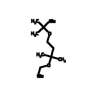 CC(C)(C)COC(C)(C)CCOC(C)(C)C(C)(C)C